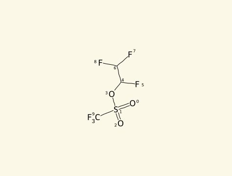 O=S(=O)(OC(F)C(F)F)C(F)(F)F